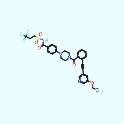 CCOc1cncc(C#Cc2ccccc2C(=O)N2CCN(c3ccc(C(=O)NS(=O)(=O)CCC(F)(F)F)cc3)CC2)c1